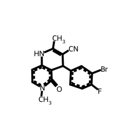 CC1=C(C#N)C(c2ccc(F)c(Br)c2)c2c(ccn(C)c2=O)N1